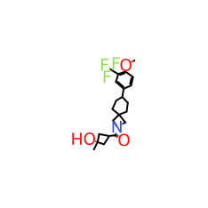 COc1ccc(C2CCC3(CC2)CN(C(=O)C2CC(C)(O)C2)C3)cc1C(F)(F)F